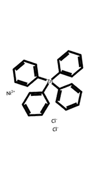 [Cl-].[Cl-].[Ni+2].c1cc[c]([Zn]([c]2ccccc2)([c]2ccccc2)[c]2ccccc2)cc1